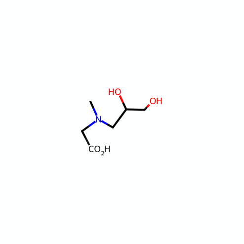 CN(CC(=O)O)CC(O)CO